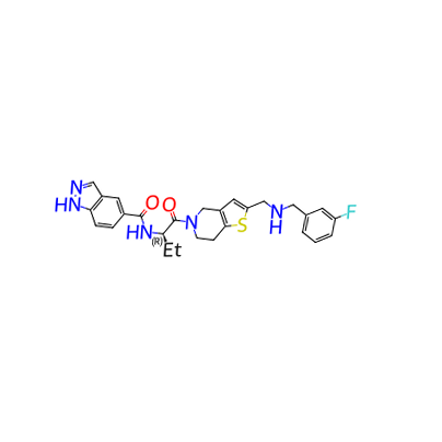 CC[C@@H](NC(=O)c1ccc2[nH]ncc2c1)C(=O)N1CCc2sc(CNCc3cccc(F)c3)cc2C1